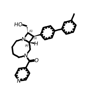 Cc1cccc(-c2ccc([C@@H]3[C@@H](CO)N4CCCCN(C(=O)c5ccncc5)C[C@@H]34)cc2)c1